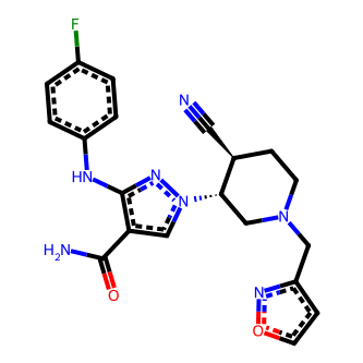 N#C[C@H]1CCN(Cc2ccon2)C[C@@H]1n1cc(C(N)=O)c(Nc2ccc(F)cc2)n1